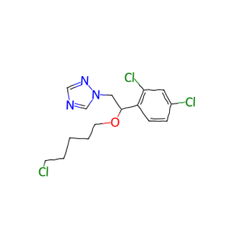 ClCCCCCOC(Cn1cncn1)c1ccc(Cl)cc1Cl